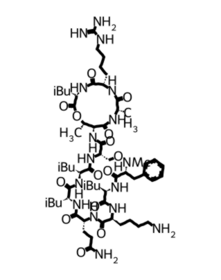 CC[C@H](C)[C@H](NC(=O)[C@@H](Cc1ccccc1)NC)C(=O)N[C@@H](CCCCN)C(=O)N[C@H](CCC(N)=O)C(=O)N[C@@H](C(=O)N[C@H](C(=O)N[C@@H](CO)C(=O)N[C@H]1C(=O)N[C@@H](C)C(=O)N[C@@H](CCCCNC(=N)N)C(=O)N[C@@H]([C@@H](C)CC)C(=O)O[C@H]1C)[C@@H](C)CC)[C@@H](C)CC